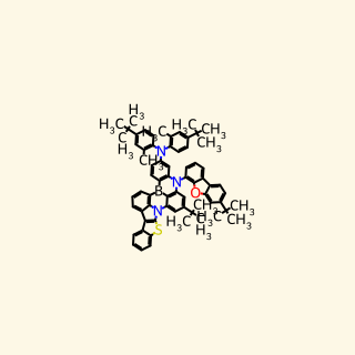 Cc1cc(C(C)(C)C)ccc1N(c1ccc2c(c1)N(c1cccc3c1oc1cc(C(C)(C)C)ccc13)c1cc(C(C)(C)C)cc3c1B2c1cccc2c4c5ccccc5sc4n-3c12)c1ccc(C(C)(C)C)cc1C